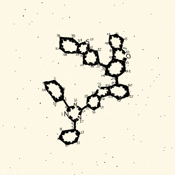 c1ccc(-c2nc(-c3ccccc3)nc(-c3ccc4c(c3)sc3c(-c5cc(-c6ccc7c(c6)sc6ccccc67)c6c(c5)oc5ccccc56)cccc34)n2)cc1